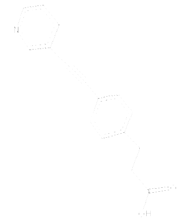 O=C(O)CCc1ccc(C#Cc2cccnc2)cc1